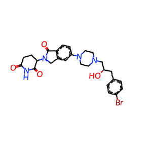 O=C1CCC(N2Cc3cc(N4CCN(C[C@H](O)Cc5ccc(Br)cc5)CC4)ccc3C2=O)C(=O)N1